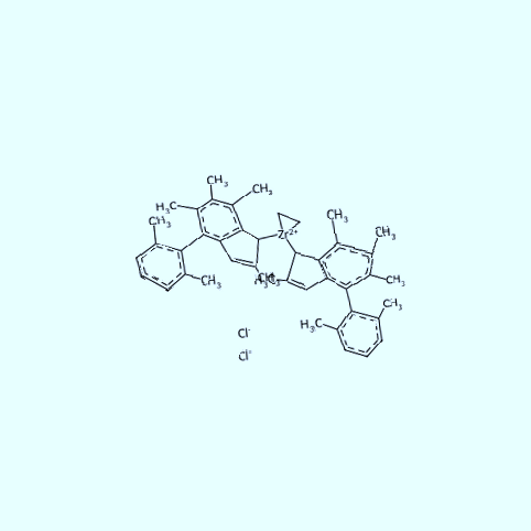 CC1=Cc2c(-c3c(C)cccc3C)c(C)c(C)c(C)c2[CH]1[Zr+2]1([CH]2C(C)=Cc3c(-c4c(C)cccc4C)c(C)c(C)c(C)c32)[CH2][CH2]1.[Cl-].[Cl-]